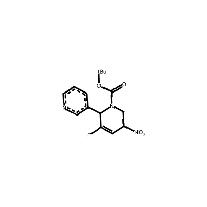 CC(C)(C)OC(=O)N1CC([N+](=O)[O-])C=C(F)C1c1cccnc1